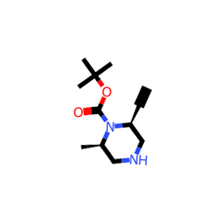 C#C[C@H]1CNC[C@@H](C)N1C(=O)OC(C)(C)C